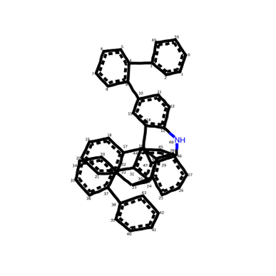 c1ccc(-c2ccccc2-c2ccc3c(c2)C24c5ccccc5C(c5ccccc52)c2c(-c5ccccc5-c5ccccc5)ccc(c24)N3)cc1